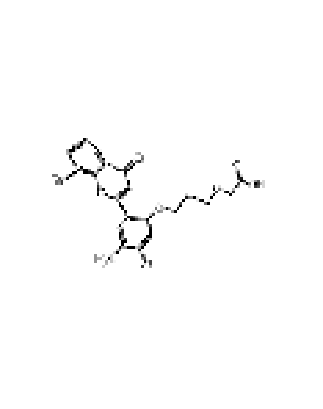 Cc1cc(-c2cc(=O)c3cccc(Br)c3o2)c(OCCCOCC(=O)O)cc1Cl